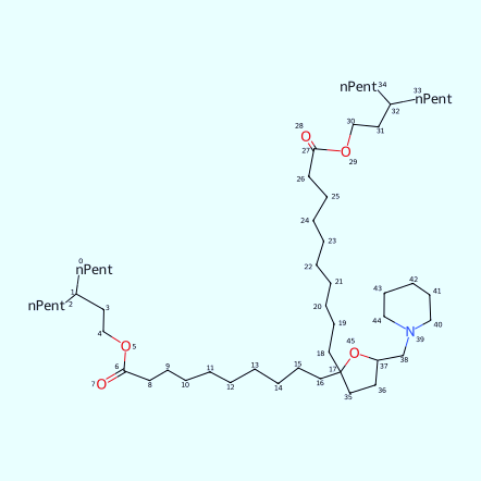 CCCCCC(CCCCC)CCOC(=O)CCCCCCCCCC1(CCCCCCCCCC(=O)OCCC(CCCCC)CCCCC)CCC(CN2CCCCC2)O1